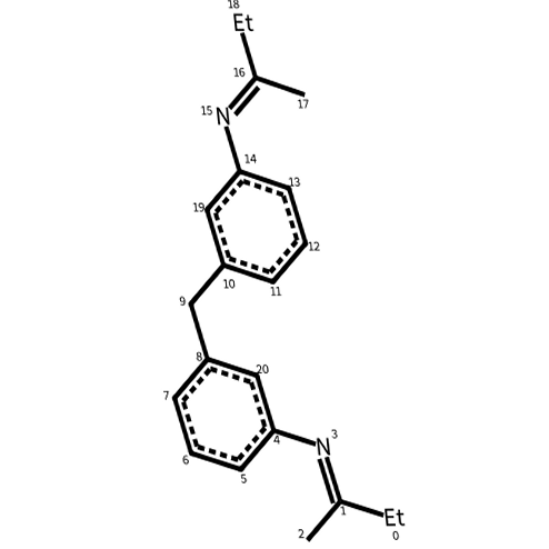 CCC(C)=Nc1cccc(Cc2cccc(N=C(C)CC)c2)c1